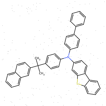 CC(C)(c1ccc(N(c2ccc(-c3ccccc3)cc2)c2ccc3c(c2)sc2ccccc23)cc1)c1ccc2ccccc2c1